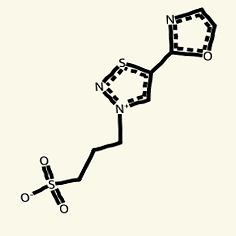 O=S(=O)([O-])CCC[n+]1cc(-c2ncco2)sn1